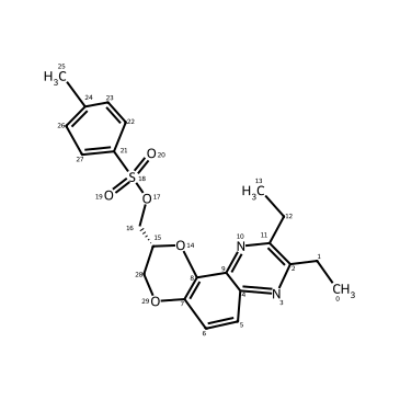 CCc1nc2ccc3c(c2nc1CC)O[C@@H](COS(=O)(=O)c1ccc(C)cc1)CO3